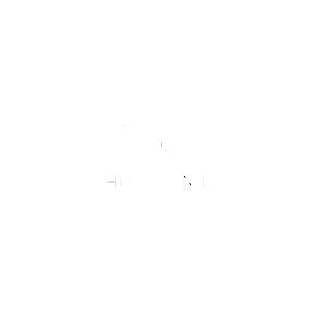 OC(C1CC1)C1CNCCO1